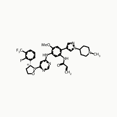 C=CC(=O)Nc1cc(Nc2cc(N3OCC[C@@H]3c3cccc(C(F)(F)F)c3F)ncn2)c(OC)cc1-c1cnn(C2CCN(C)CC2)c1